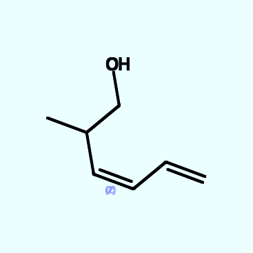 C=C/C=C\C(C)CO